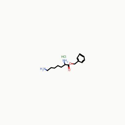 Cl.NCCCCCC(N)C(=O)OCc1ccccc1